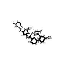 CC1CCCN(Cc2cc(C(F)(F)F)c3oc(-c4cccc(-c5ccc(C#N)cc5-c5nncn5C)c4)nc3c2)C1